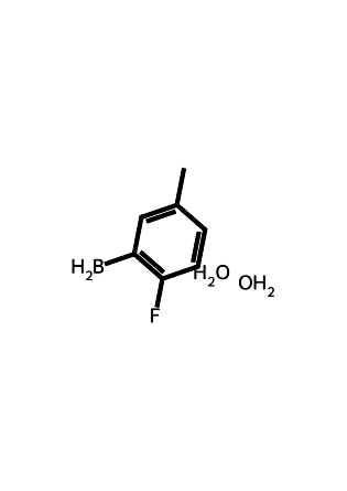 Bc1cc(C)ccc1F.O.O